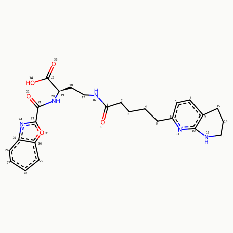 O=C(CCCCc1ccc2c(n1)NCCC2)NCC[C@@H](NC(=O)c1nc2ccccc2o1)C(=O)O